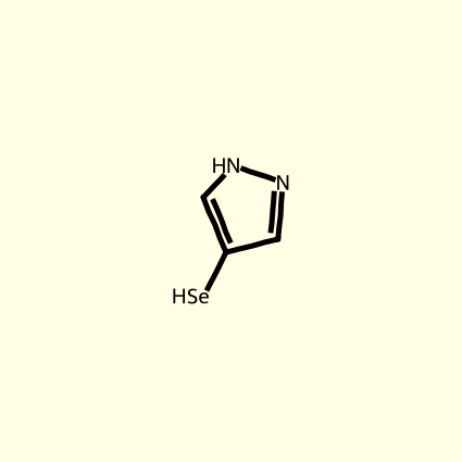 [SeH]c1cn[nH]c1